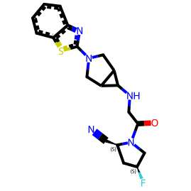 N#C[C@@H]1C[C@H](F)CN1C(=O)CNC1C2CN(c3nc4ccccc4s3)CC21